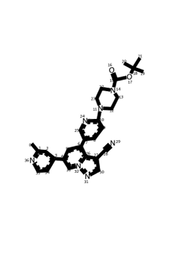 Cc1cc(-c2cc(-c3ccc(N4CCN(C(=O)OC(C)(C)C)CC4)nc3)c3c(C#N)cnn3c2)ccn1